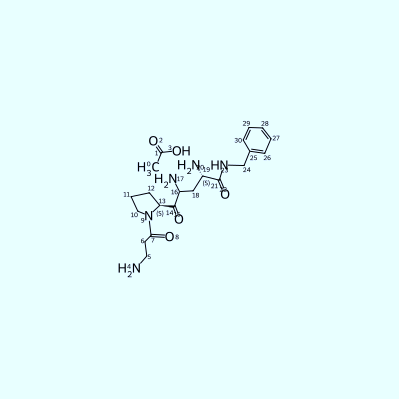 CC(=O)O.NCCC(=O)N1CCC[C@H]1C(=O)C(N)C[C@H](N)C(=O)NCc1ccccc1